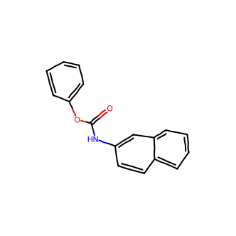 O=C(Nc1ccc2ccccc2c1)Oc1ccccc1